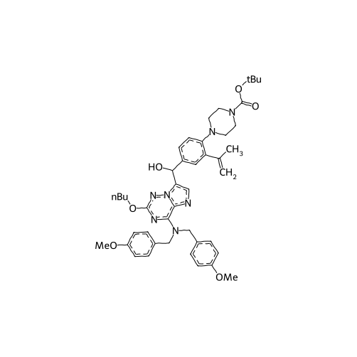 C=C(C)c1cc(C(O)c2cnc3c(N(Cc4ccc(OC)cc4)Cc4ccc(OC)cc4)nc(OCCCC)nn23)ccc1N1CCN(C(=O)OC(C)(C)C)CC1